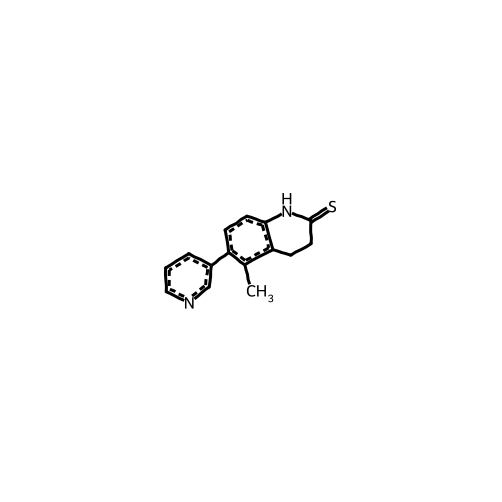 Cc1c(-c2cccnc2)ccc2c1CCC(=S)N2